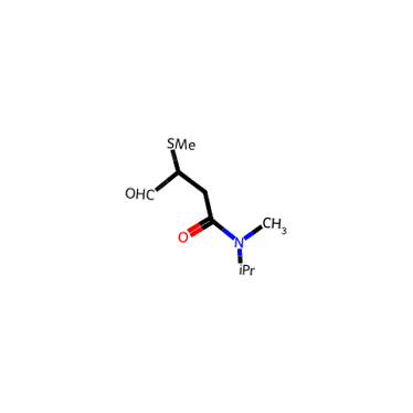 CSC(C=O)CC(=O)N(C)C(C)C